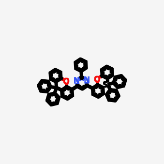 c1ccc(-c2nc(-c3cccc4c3Oc3ccccc3C4(c3ccccc3)c3ccccc3)cc(-c3cccc4c3Oc3ccccc3[Si]4(c3ccccc3)c3ccccc3)n2)cc1